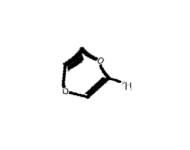 [2H]C1=COC=CO1